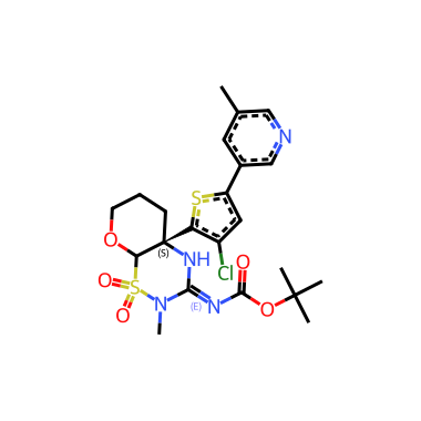 Cc1cncc(-c2cc(Cl)c([C@]34CCCOC3S(=O)(=O)N(C)/C(=N/C(=O)OC(C)(C)C)N4)s2)c1